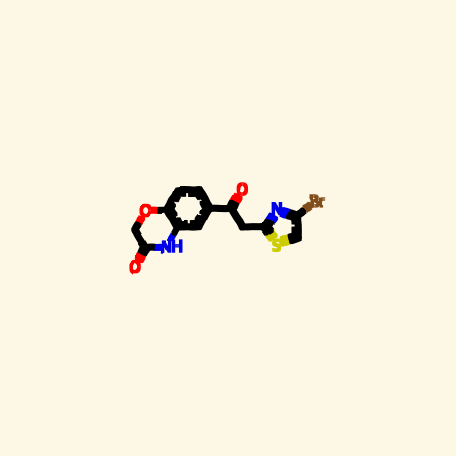 O=C1COc2ccc(C(=O)Cc3nc(Br)cs3)cc2N1